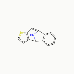 C1=C2NC(c3ccccc32)c2ccsc21